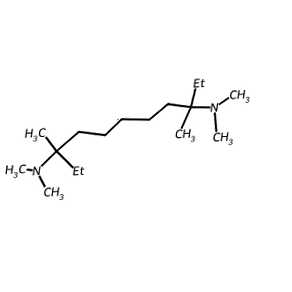 CCC(C)(CC[CH]CCC(C)(CC)N(C)C)N(C)C